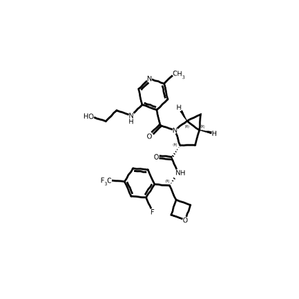 Cc1cc(C(=O)N2[C@@H](C(=O)N[C@@H](c3ccc(C(F)(F)F)cc3F)C3COC3)C[C@H]3C[C@H]32)c(NCCO)cn1